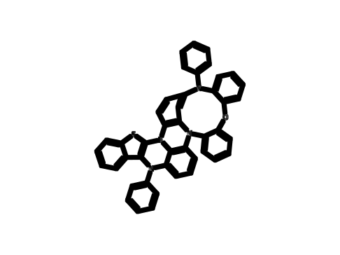 c1ccc(N2c3ccc4c(c3)N(c3ccccc3Oc3ccccc32)c2cccc3c2B4c2sc4ccccc4c2N3c2ccccc2)cc1